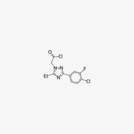 CCc1nc(-c2ccc(Cl)c(F)c2)nn1CC(=O)Cl